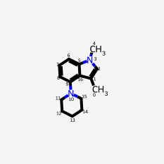 Cc1cn(C)c2cccc(N3CCCCC3)c12